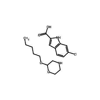 CCCCCOC1CNCCO1.O=C(O)c1cc2ccc(Cl)cc2[nH]1